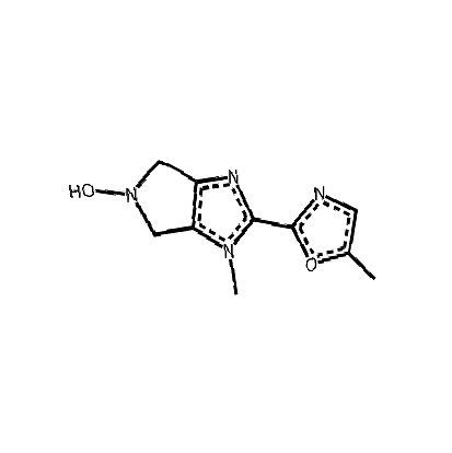 Cc1cnc(-c2nc3c(n2C)CN(O)C3)o1